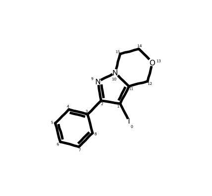 Ic1c(-c2ccccc2)nn2c1COCC2